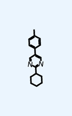 Cc1ccc(-c2cnc(C3CCCCC3)nc2)cc1